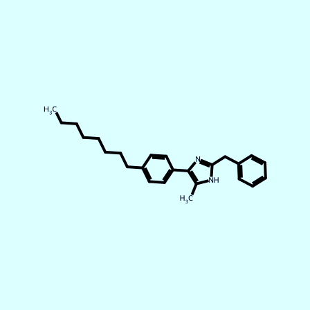 CCCCCCCCc1ccc(-c2nc(Cc3ccccc3)[nH]c2C)cc1